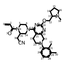 C=CC(=O)N1CCN(c2nc(OCC3CCCN3C)nc3c2CCN(c2cccc(C)c2C)C3)CC1CC#N